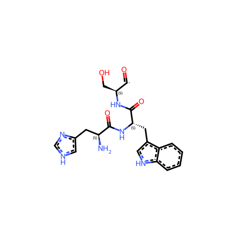 N[C@@H](Cc1c[nH]cn1)C(=O)N[C@@H](Cc1c[nH]c2ccccc12)C(=O)N[C@H]([C]=O)CO